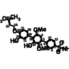 COc1cc(-c2ccc(S(N)(=O)=O)cc2)c(OC)c(O)c1-c1ccc(OCC=C(C)C)c(O)c1